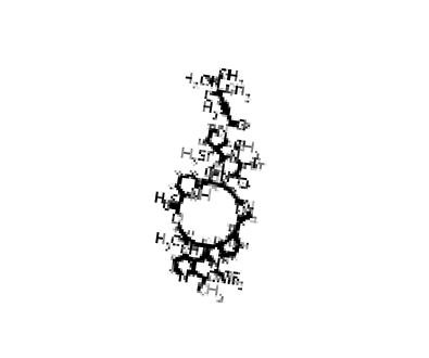 CO[C@@H](C)c1ncccc1-c1c2c3cc(ccc3n1CC(F)(F)F)-c1cnc(o1)C[C@H](NC(=O)[C@H](C(C)C)N(C)C(=O)[C@@]1([SiH3])CCN(C(=O)C#CC(C)(C)N(C)C)C1)C(=O)N1CCC[C@@]([SiH3])(N1)C(=O)OCC(C)(C)C2